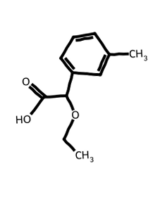 CCOC(C(=O)O)c1cccc(C)c1